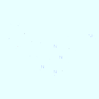 Nc1ccc(-c2nc(-c3ccc(Oc4ccccc4)cc3)c3c(N)nccn23)cc1